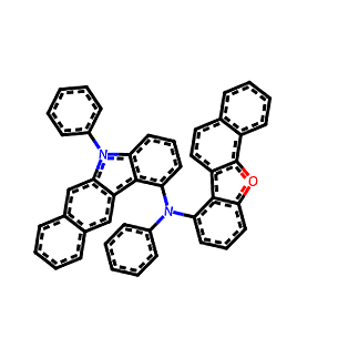 c1ccc(N(c2cccc3oc4c5ccccc5ccc4c23)c2cccc3c2c2cc4ccccc4cc2n3-c2ccccc2)cc1